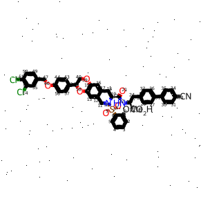 COc1ccccc1S(=O)(=O)N1Cc2cc3c(cc2C[C@H]1C(=O)N[C@@H](Cc1ccc(-c2ccc(C#N)cc2)cc1)C(=O)O)OCC(c1ccc(OCc2ccc(Cl)c(Cl)c2)cc1)O3